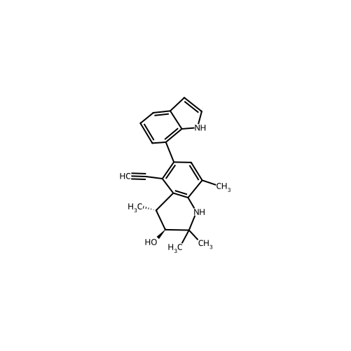 C#Cc1c(-c2cccc3cc[nH]c23)cc(C)c2c1[C@@H](C)[C@H](O)C(C)(C)N2